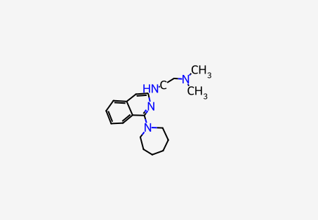 CN(C)CCNc1cc2ccccc2c(N2CCCCCC2)n1